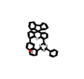 N#Cc1ccc(-c2cccc3c2Oc2c(-c4nc(-c5ccccc5)nc(-c5ccccc5)n4)cccc2C32c3ccccc3-c3ccccc32)cc1